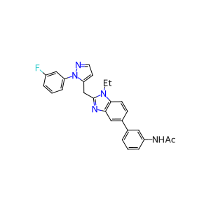 CCn1c(Cc2ccnn2-c2cccc(F)c2)nc2cc(-c3cccc(NC(C)=O)c3)ccc21